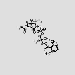 Cc1cccc(C)c1C(=O)OCC(C)(C)COS(=O)(=O)ON1C(=O)C2[C@@H](C[C@H]2C(N)=O)[C@@H]1C